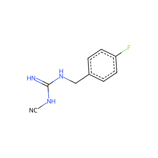 N#CNC(=N)NCc1ccc(F)cc1